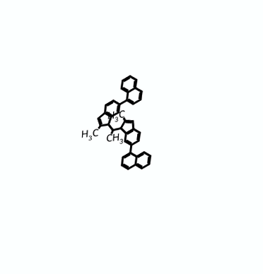 CC1=Cc2ccc(-c3cccc4ccccc34)cc2C1C(C)C1C(C)=Cc2ccc(-c3cccc4ccccc34)cc21